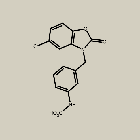 O=C(O)Nc1cccc(Cn2c(=O)oc3ccc(Cl)cc32)c1